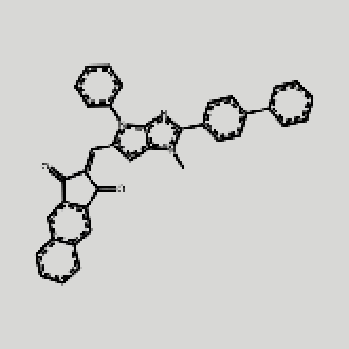 Cn1c(-c2ccc(-c3ccccc3)cc2)nc2c1cc(C=C1C(=O)c3cc4ccccc4cc3C1=O)n2-c1ccccc1